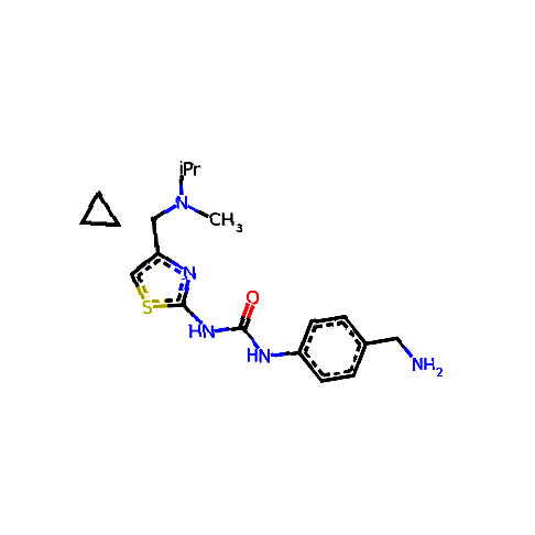 C1CC1.CC(C)N(C)Cc1csc(NC(=O)Nc2ccc(CN)cc2)n1